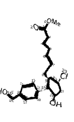 COC(=O)CCCC=CC[C@@H]1[C@@H](c2ccc(CO)cc2)[C@H](O)C[C@H]1Cl